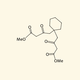 COC(=O)CC(=O)CC1(CC(=O)CC(=O)OC)CCCCC1